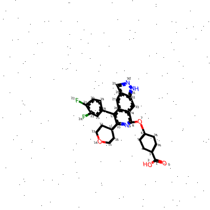 O=C(O)C1CCC(Oc2nc(C3CCOCC3)c(-c3ccc(F)c(F)c3)c3cc4cn[nH]c4cc23)CC1